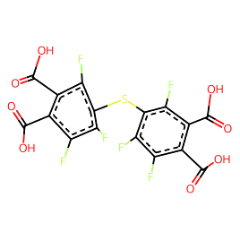 O=C(O)c1c(F)c(F)c(Sc2c(F)c(F)c(C(=O)O)c(C(=O)O)c2F)c(F)c1C(=O)O